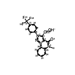 Cn1c(=O)c2c(O)n(-c3ccc(C(F)(F)F)cc3)n[n+]2c2ccccc21.[OH-]